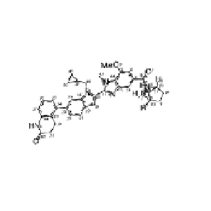 COc1cc(C(=O)N2C[C@H]3CC[C@@H]2[C@@H]3N)cc2nc(-c3cc4ccc(-c5cccc6c5CCC(=O)N6)cc4n3CC3CC3)n(C)c12